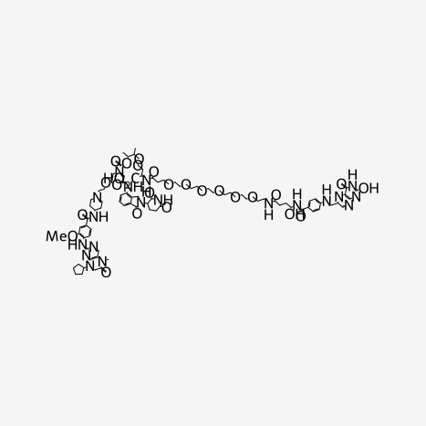 COc1cc(C(=O)NC2CCN(CCOCCN(CC(=O)Nc3cccc4c3CN(C3CCC(=O)NC3=O)C4=O)C(=O)OC(C)C(C)OOCC(NC(=O)CCOCCOCCOCCOCCOCCOCCNC(=O)CCC(O)NC(=O)c3ccc(NCc4cnc5nc(O)[nH]c(=O)c5n4)cc3)C(=O)O)CC2)ccc1Nc1ncc2c(n1)N(C1CCCC1)CC(=O)N2C